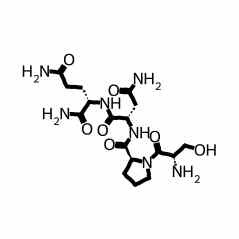 NC(=O)CC[C@H](NC(=O)[C@H](CC(N)=O)NC(=O)[C@@H]1CCCN1C(=O)[C@@H](N)CO)C(N)=O